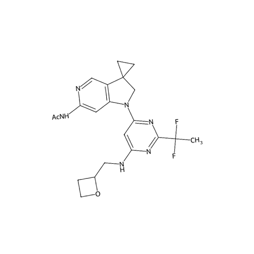 CC(=O)Nc1cc2c(cn1)C1(CC1)CN2c1cc(NCC2CCO2)nc(C(C)(F)F)n1